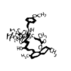 CCC(C)C(=O)OC1CC(C)C=C2C=CC(C)C(CCC(O)CC(CCNCc3ccc(OC)cc3)O[Si](C)(C)C(C)(C)C)C21